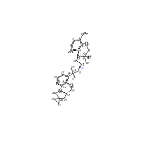 CC(C)c1ccnc2c1OC[C@@H]1C/C(=C/C(C)(C)c3ccnc4c3OCC3CC5(CC5)CN43)CN21